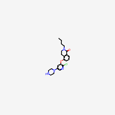 CCCCN1CCc2c(Oc3cc(N4CCNCC4)cnc3Cl)cccc2C1=O